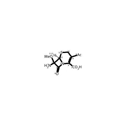 COC1(N)C(=O)N2C(C(=O)O)=C(C(C)=O)CS[C@@H]21